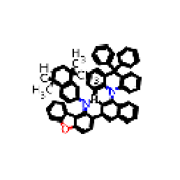 CC1(C)CCC(C)(C)c2cc(N3B4c5cccc6c5N(c5ccccc5C6(c5ccccc5)c5ccccc5)c5c4c(cc4ccccc54)-c4ccc5oc6ccccc6c5c43)ccc21